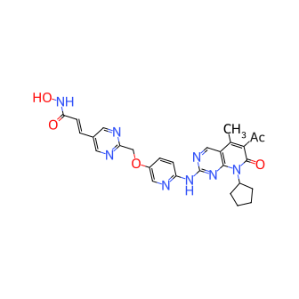 CC(=O)c1c(C)c2cnc(Nc3ccc(OCc4ncc(/C=C/C(=O)NO)cn4)cn3)nc2n(C2CCCC2)c1=O